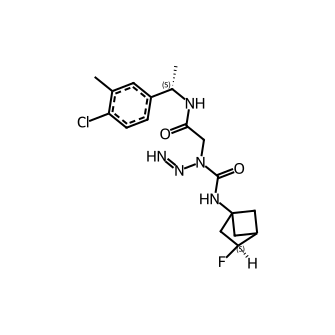 Cc1cc([C@H](C)NC(=O)CN(N=N)C(=O)NC23CC(C2)[C@@H](F)C3)ccc1Cl